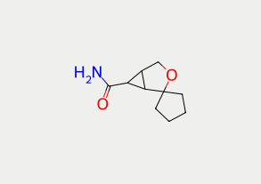 NC(=O)C1C2COC3(CCCC3)C21